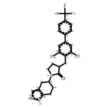 O=C1C(Cc2c(Cl)cc(-c3ccc(C(F)(F)F)cc3)cc2Cl)CCN1C1CCc2n[nH]cc2C1